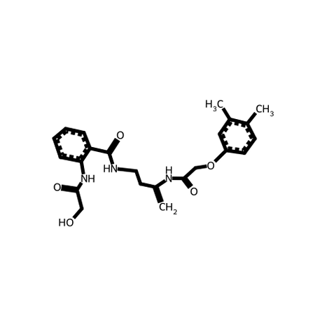 C=C(CCNC(=O)c1ccccc1NC(=O)CO)NC(=O)COc1ccc(C)c(C)c1